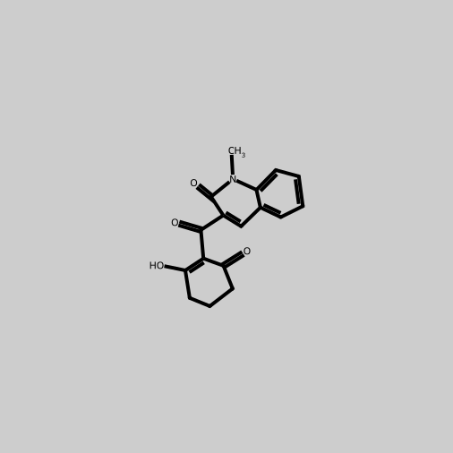 Cn1c(=O)c(C(=O)C2=C(O)CCCC2=O)cc2ccccc21